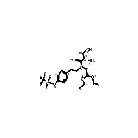 CCOC(CN(CCc1ccc(O[Si](C)(C)C(C)(C)C)cc1)C(=O)[C@@H](N)CO)OCC